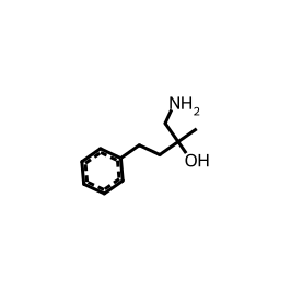 CC(O)(CN)CCc1ccccc1